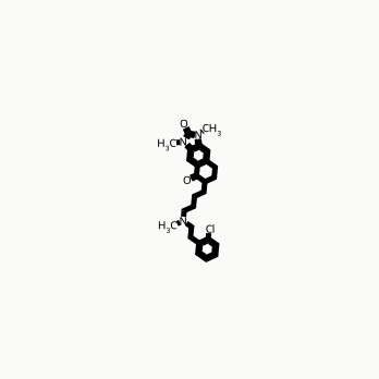 CN(CCCCC1CCc2cc3c(cc2C1=O)n(C)c(=O)n3C)CCc1ccccc1Cl